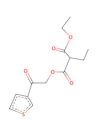 CCOC(=O)C(CC)C(=O)OCC(=O)c1ccsc1